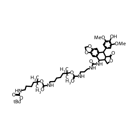 COc1cc(C2c3cc4c(cc3C(NC(=O)NCCCNC(=O)OC(C)(C)CCCCCNC(=O)OC(C)(C)CCCCNC(=O)OC(C)(C)C)C3COC(=O)C23)OCO4)cc(OC)c1O